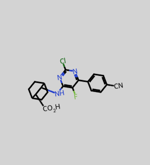 N#Cc1ccc(-c2nc(Cl)nc(NC3C4CCC(CC4)C3C(=O)O)c2F)cc1